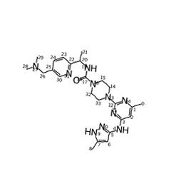 Cc1cc(Nc2cc(C)[nH]n2)nc(N2CCN(C(=O)NC(C)c3ccc(CN(C)C)cn3)CC2)n1